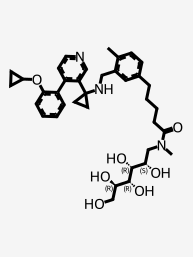 Cc1ccc(CCCCC(=O)N(C)C[C@H](O)[C@@H](O)[C@H](O)[C@H](O)CO)cc1CNC1(c2cnccc2-c2ccccc2OC2CC2)CC1